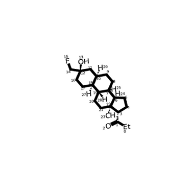 CCC(=O)[C@H]1CC[C@H]2[C@@H]3CC[C@@H]4C[C@@](O)(CF)CC[C@@H]4[C@H]3CC[C@]12C